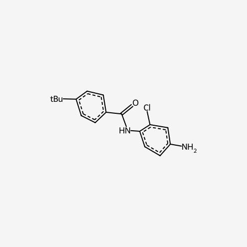 CC(C)(C)c1ccc(C(=O)Nc2ccc(N)cc2Cl)cc1